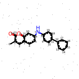 Cc1cc2ccc(Nc3ccc(-c4ccccc4)cc3)cc2oc1=O